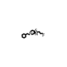 FCCCc1nc2c(s1)CCN(CCC1CCCCC1)C2